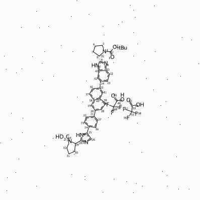 CC(C)(C)OC(=O)N1CCC[C@H]1c1nc2ccc(-c3ccc4cc(-c5ccc(-c6cnc(C7CCCN7C(=O)O)[nH]6)cc5)ccc4c3)cc2[nH]1.O=C(O)C(F)(F)F.O=C(O)C(F)(F)F